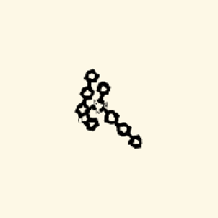 C1=CC(c2ccc(-c3ccc4oc5ccccc5c4c3-c3nc(C4=CCC(c5ccc(-c6ccccc6)cc5)C=C4)nc(-c4ccccc4)n3)cc2)=CCC1